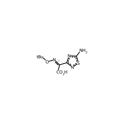 CC(C)(C)O/N=C(\C(=O)O)c1nsc(N)n1